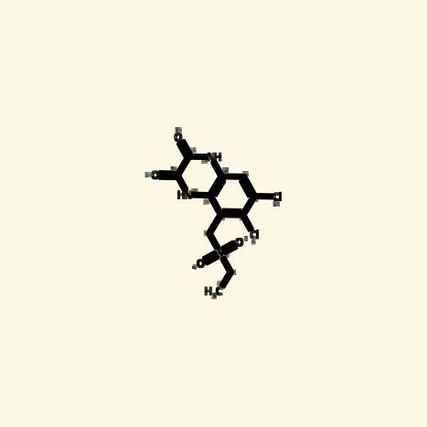 CCS(=O)(=O)Cc1c(Cl)c(Cl)cc2[nH]c(=O)c(=O)[nH]c12